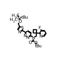 CC(C)(C)OC(=O)N(CC1(c2ncccc2F)CCC1)c1ccc(-c2ncc(CO[Si](C)(C)C(C)(C)C)s2)nn1